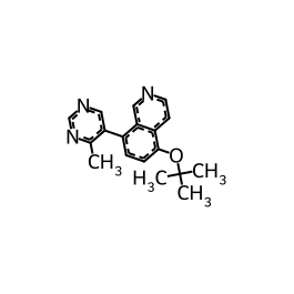 Cc1ncncc1-c1ccc(OC(C)(C)C)c2ccncc12